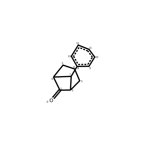 O=C1C2CCCC1C2c1ccccc1